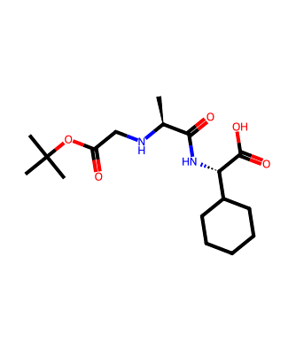 C[C@H](NCC(=O)OC(C)(C)C)C(=O)N[C@H](C(=O)O)C1CCCCC1